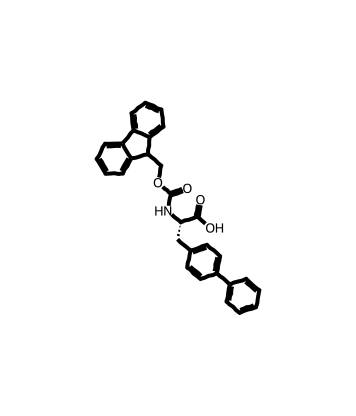 O=C(N[C@@H](Cc1ccc(-c2ccccc2)cc1)C(=O)O)OCC1c2ccccc2-c2ccccc21